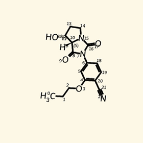 CCCOc1cc(N2C(=O)[C@@H]3[C@H](O)CCN3C2=O)ccc1C#N